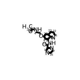 CC(=O)NCCOc1cc(NC(=O)c2cnccn2)c2ncccc2c1